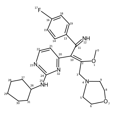 CO/C(CN1CCOCC1)=C(\C(=N)c1ccc(F)cc1)c1ccnc(NC2CCCCC2)n1